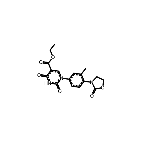 CCOC(=O)c1cn(-c2ccc(N3CCOC3=O)c(C)c2)c(=O)[nH]c1=O